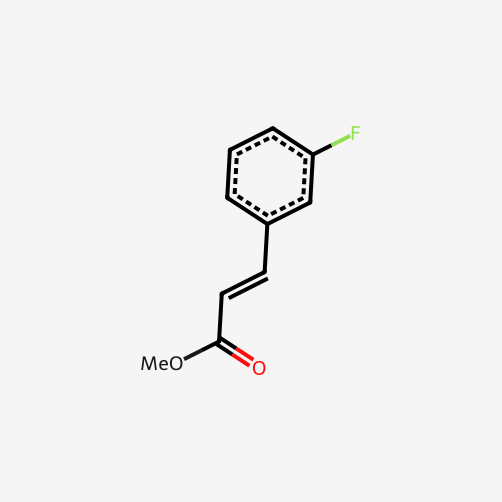 COC(=O)C=Cc1cccc(F)c1